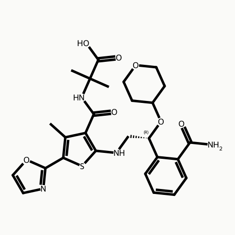 Cc1c(-c2ncco2)sc(NC[C@H](OC2CCOCC2)c2ccccc2C(N)=O)c1C(=O)NC(C)(C)C(=O)O